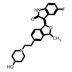 CC1OC(=C2C(=O)Nc3ccc(F)cc32)c2ccc(CCN3CCC(O)CC3)cc21